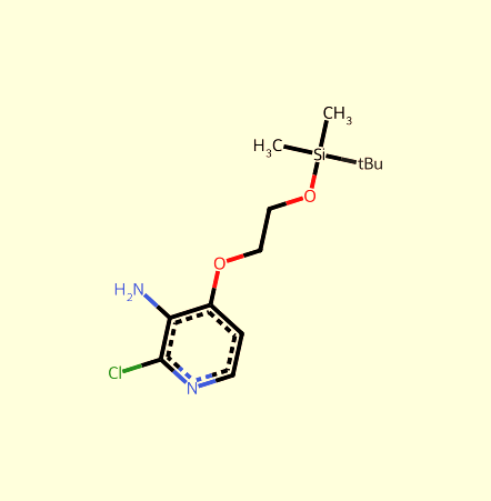 CC(C)(C)[Si](C)(C)OCCOc1ccnc(Cl)c1N